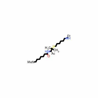 CCNCCCCCCSC(C)(C)[C@H](NC(=O)CCCCCCNC)C(C)=O